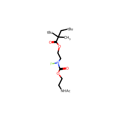 CC(=O)NCCOC(=O)N(F)CCOC(=O)C(C)(CC(C)(C)C)C(C)(C)C